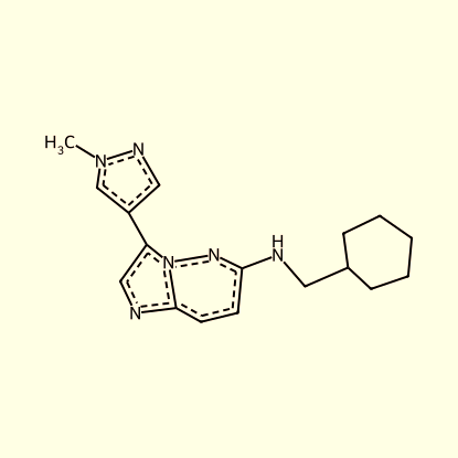 Cn1cc(-c2cnc3ccc(NCC4CCCCC4)nn23)cn1